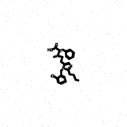 CCCCc1ncc(CCN(C)[C@@H](Cc2ccccc2)C(=O)O)n1Cc1ccccc1Cl